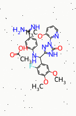 CC(=O)O.COc1cc(F)c(C(Nc2ccc(C(=N)N)cc2)c2nn(-c3ncccc3OC)c(=O)[nH]2)cc1OC